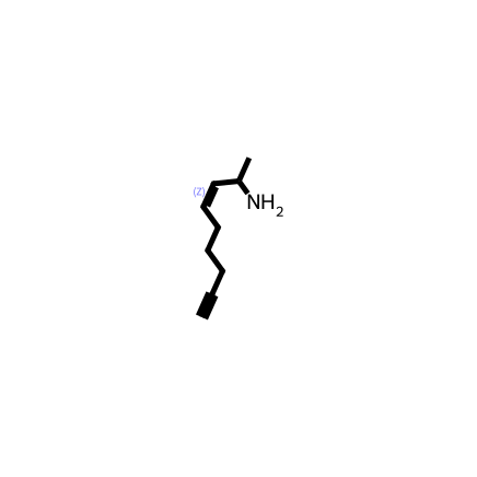 C#CCCC/C=C\C(C)N